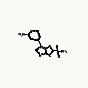 NS(=O)(=O)c1nn2c(-c3cccc([N+](=O)[O-])c3)cnc2s1